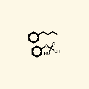 CCCCc1ccccc1.O=P(O)(O)Oc1ccccc1